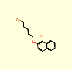 BrCCCCCOc1ccc2ccccc2c1Br